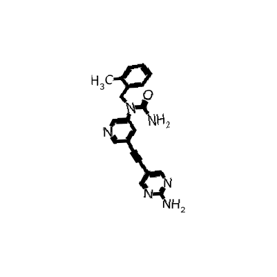 Cc1ccccc1CN(C(N)=O)c1cncc(C#Cc2cnc(N)nc2)c1